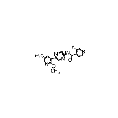 COc1ncc(C)cc1-c1cnc(NC(=O)c2ccncc2F)cn1